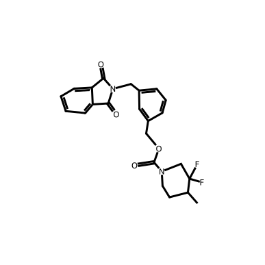 CC1CCN(C(=O)OCc2cccc(CN3C(=O)c4ccccc4C3=O)c2)CC1(F)F